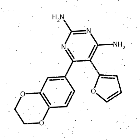 Nc1nc(N)c(-c2ccco2)c(-c2ccc3c(c2)OCCO3)n1